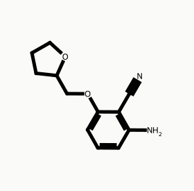 N#Cc1c(N)cccc1OCC1CCCO1